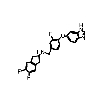 Fc1cc2c(cc1F)CC(NCc1ccc(Oc3ccc4nc[nH]c4c3)c(F)c1)C2